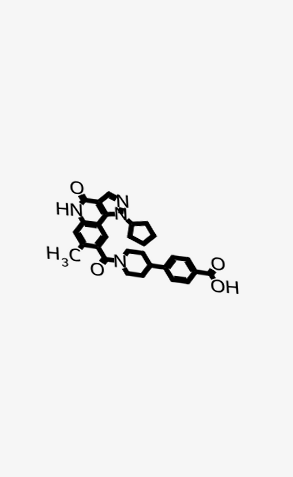 Cc1cc2[nH]c(=O)c3cnn(C4CCCC4)c3c2cc1C(=O)N1CCC(c2ccc(C(=O)O)cc2)CC1